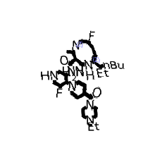 CCCCC(CC)/C1=C/CC(F)/C=N\C(C)C(C(=O)NC2CNCC(F)C2N2CCC(C(=O)N3CCN(CC)CC3)CC2)C(N)N1